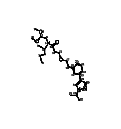 CCCC(C)N(CC(OC)OC)C(=O)CCOCCc1cccc(-c2cnn(C(C)C)c2)c1